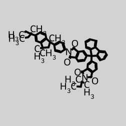 CCC(C)(CC)c1ccc2c(c1)C(C)(C)CC2(C)c1ccc(N2C(=O)c3ccc(C4(c5ccc6c(c5)C(=O)N(C(C)(C)CC)C6=O)c5ccccc5-c5ccccc54)cc3C2=O)cc1